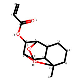 C=CC(=O)OC1C2OC3C1OC1(C)CCCC2C31